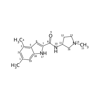 Cc1cc(C)c2cc(C(=O)NC3CCN(C)C3)[nH]c2c1